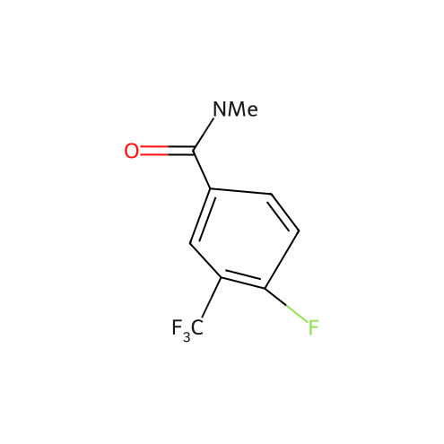 CNC(=O)c1ccc(F)c(C(F)(F)F)c1